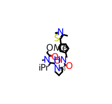 COCC(=O)N(C)C(C(=O)N1CCC[C@H]1C(=O)NCc1ccc(-c2scnc2C)cc1)C(C)C